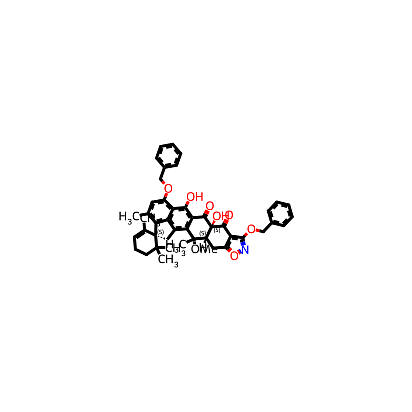 COC1(C)c2c(c(O)c3c(OCc4ccccc4)cc(C)c4c3c2C[C@]42C(C)=CCCC2(C)C)C(=O)[C@]2(O)C(=O)c3c(OCc4ccccc4)noc3C[C@H]12